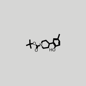 Cc1ccc(O)c(C2CCN(C(=O)OC(C)(C)C)CC2)c1